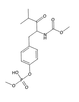 COC(=O)NC(Cc1ccc(OP(=O)(O)OC)cc1)C(=O)C(C)C